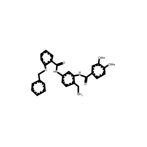 COc1ccc(C(=O)Nc2cc(NC(=O)c3ccccc3OCc3ccccc3)ccc2CN)cc1OC